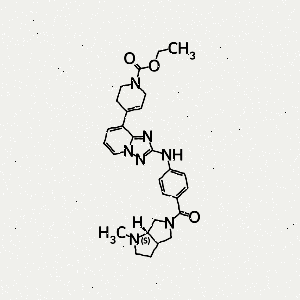 CCOC(=O)N1CC=C(c2cccn3nc(Nc4ccc(C(=O)N5CC6CCN(C)[C@@H]6C5)cc4)nc23)CC1